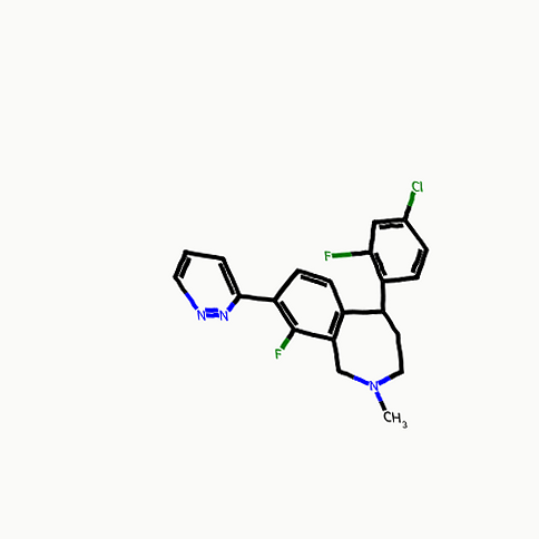 CN1CCC(c2ccc(Cl)cc2F)c2ccc(-c3cccnn3)c(F)c2C1